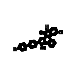 CC(=O)N1NC(c2c(-c3ccccc3)c3cc(Cl)ccc3[nH]c2=O)CC1c1ccc(-c2ccc(Br)cc2)cc1